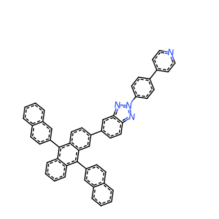 c1ccc2cc(-c3c4ccccc4c(-c4ccc5ccccc5c4)c4cc(-c5ccc6nn(-c7ccc(-c8ccncc8)cc7)nc6c5)ccc34)ccc2c1